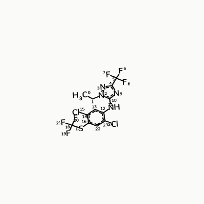 CCn1nc(C(F)(F)F)nc1Nc1cc(Cl)c(SC(F)(F)F)cc1Cl